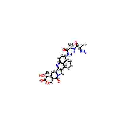 CC[C@@]1(O)C(=O)OCc2c1cc1n(c2=O)Cc2c-1nc1ccc(NC(=O)[C@H](C)NC(=O)C(N)C(C)C)c3c1c2CCC3